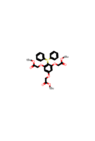 CC(C)(C)OC(=O)COc1cc(OCC(=O)OC(C)(C)C)c([S+](c2ccccc2)c2ccccc2)c(OCC(=O)OC(C)(C)C)c1